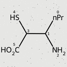 CCCC(N)C(S)C(=O)O